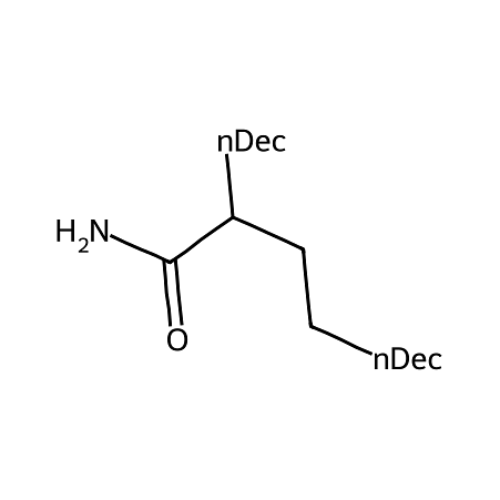 CCCCCCCCCCCCC(CCCCCCCCCC)C(N)=O